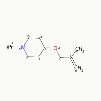 C=C(C)COC1CCN(C(C)C)CC1